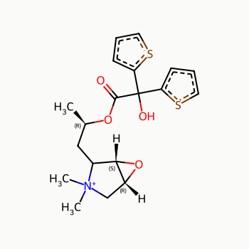 C[C@H](CC1[C@@H]2O[C@@H]2C[N+]1(C)C)OC(=O)C(O)(c1cccs1)c1cccs1